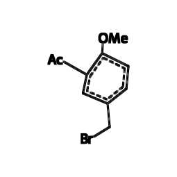 COc1ccc(CBr)cc1C(C)=O